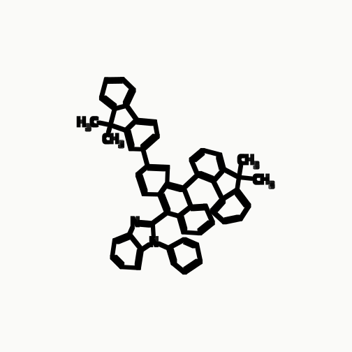 CC1(C)c2ccccc2-c2ccc(-c3ccc4c(-c5nc6ccccc6n5-c5ccccc5)c5ccccc5c(-c5cccc6c5-c5ccccc5C6(C)C)c4c3)cc21